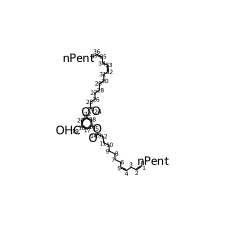 CCCCC/C=C\C/C=C\CCCCCCCC(=O)Oc1cc(C=O)cc(OC(=O)CCCCCCC/C=C\C/C=C\CCCCC)c1